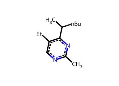 CCCCC(C)c1nc(C)ncc1CC